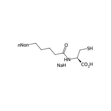 CCCCCCCCCCCCCC(=O)N[C@@H](CS)C(=O)O.[NaH]